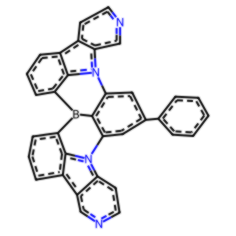 c1ccc(-c2cc3c4c(c2)-n2c5cnccc5c5cccc(c52)B4c2cccc4c5cnccc5n-3c24)cc1